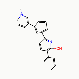 C=C/C(=C\N(C)C)c1cccc(-c2ccc(C(=C)/C=C\C)c(O)n2)c1